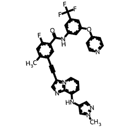 Cc1cc(F)c(C(=O)Nc2cc(Oc3ccncc3)cc(C(F)(F)F)c2)cc1C#Cc1cnc2c(Nc3cnn(C)c3)cccn12